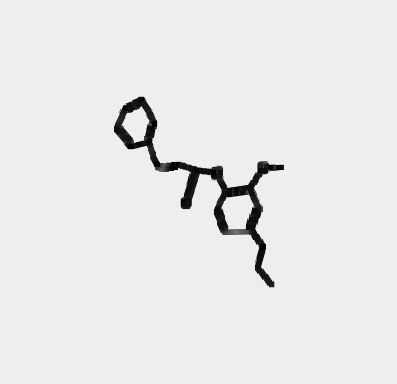 CCCc1ccc(OC(=O)C=Cc2ccccc2)c(OC)c1